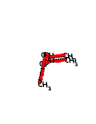 CCCCCCCCC=CCCCCCCCC(=O)OC[C@H](CSC[C@H](NC(=O)CCCCCCCCCCCCCCC)C(=O)O)OC(=O)CCCCCCCC=CCCCCCCCC